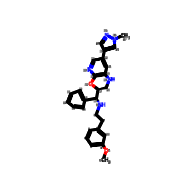 COc1cccc(CCN[C@H](c2ccccc2)[C@@H]2CNc3cc(-c4cnn(C)c4)cnc3O2)c1